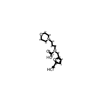 C#Cc1ccc(CN(CCCN2CCOCC2)C(=O)O)o1